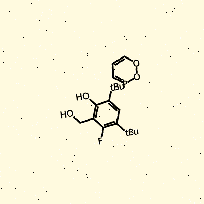 C1=COOP=C1.CC(C)(C)c1cc(C(C)(C)C)c(F)c(CO)c1O